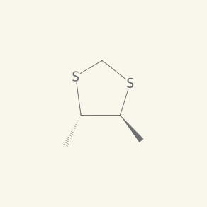 C[C@@H]1SCS[C@H]1C